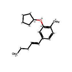 COc1ccc(C=CCCC=O)cc1OC1CCCC1